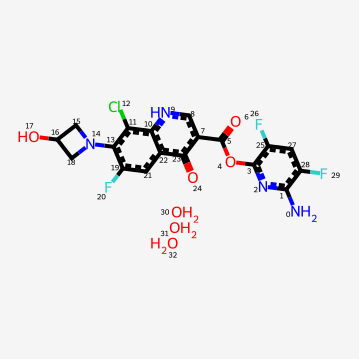 Nc1nc(OC(=O)c2c[nH]c3c(Cl)c(N4CC(O)C4)c(F)cc3c2=O)c(F)cc1F.O.O.O